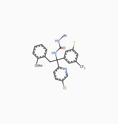 COc1ccccc1CC(NC(=O)NC(C)C)(c1cc(F)cc(C(F)(F)F)c1)c1ccc(Cl)cn1